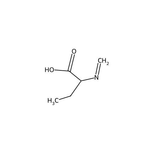 C=NC(CC)C(=O)O